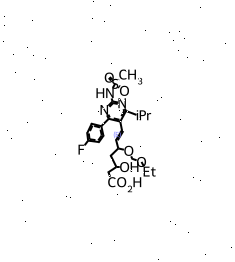 CCOCOC(/C=C/c1c(-c2ccc(F)cc2)nc(NS(C)(=O)=O)nc1C(C)C)CC(O)CC(=O)O